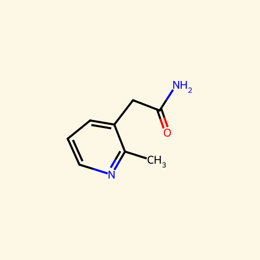 Cc1ncccc1CC(N)=O